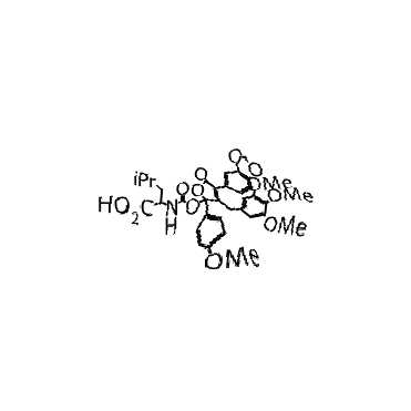 COc1ccc(C2(OC(=O)NC(CC(C)C)C(=O)O)OC(=O)C(c3ccc4c(c3)OCO4)=C2Cc2cc(OC)c(OC)c(OC)c2)cc1